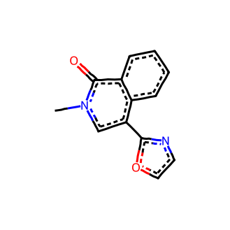 Cn1cc(-c2ncco2)c2ccccc2c1=O